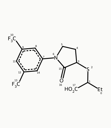 CCC(SC1CCN(c2cc(C(F)(F)F)cc(C(F)(F)F)c2)C1=O)C(=O)O